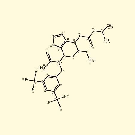 CCC1CC(N(Cc2cc(C(F)(F)F)cc(C(F)(F)F)c2)C(C)=O)c2sccc2N1OC(=O)OC(C)C